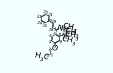 CCCOc1ccc2c(c1)C(C)(C)C(C)(C)N=C2/C=C/c1ccccc1